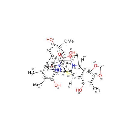 COc1cc2c(cc1O)CCN[C@]21CS[C@@H]2c3c(O)c(C)c4c(c3[C@H](COC1=O)N1[C@@H]2C2c3c(cc(C)c(OC)c3O)CC([C@@H]1O)N2C)OCO4